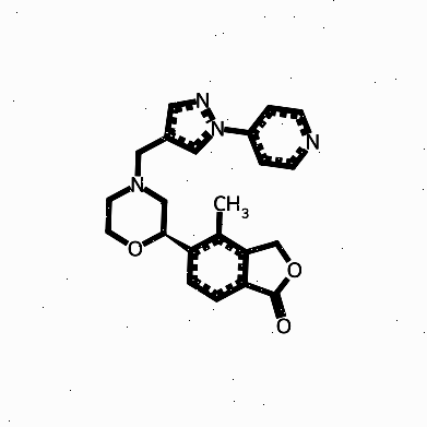 Cc1c([C@@H]2CN(Cc3cnn(-c4ccncc4)c3)CCO2)ccc2c1COC2=O